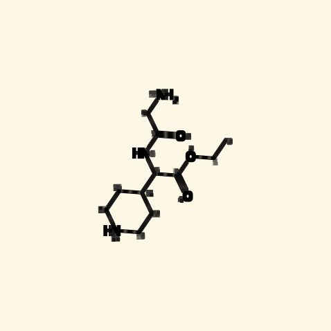 CCOC(=O)C(NC(=O)CN)C1CCNCC1